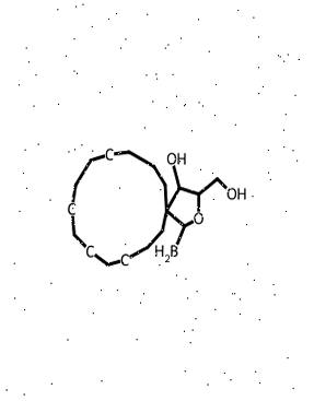 BC1OC(CO)C(O)C12CCCCCCCCCCCCC2